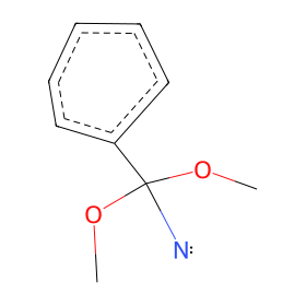 COC([N])(OC)c1ccccc1